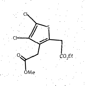 CCOC(=O)Cc1sc(Cl)c(Cl)c1CC(=O)OC